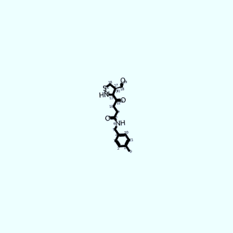 Cc1ccc(CNC(=O)CCC(=O)C2NSC[C@H]2C=O)cc1